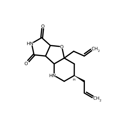 C=CC[C@H]1CNC2C3C(=O)NC(=O)C3OC2(CC=C)C1